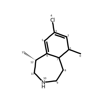 CC1C=C(Cl)C=C2C1CCNC[C@@H]2C